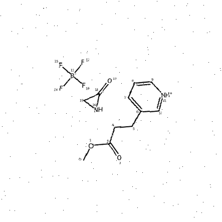 COC(=O)CCc1ccc[nH+]c1.F[B-](F)(F)F.O=C1CN1